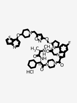 CN[C@@H](C)C(=O)N[C@H](C(=O)N1CCN(C(=O)c2cc3cc(F)ccc3n2CC(=O)N2CCC[C@H]2COc2cc(CN3CCC(Oc4ccnc5ccsc45)CC3)on2)CC1)C1CCCCC1.Cl